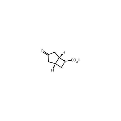 O=C1C[C@H]2CN(C(=O)O)[C@H]2C1